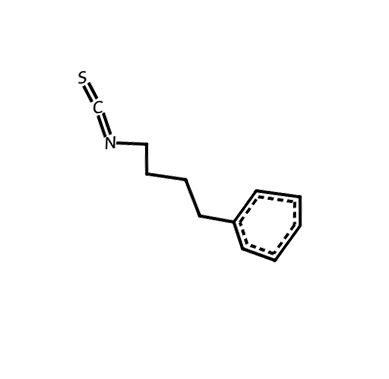 S=C=NCCCCc1ccccc1